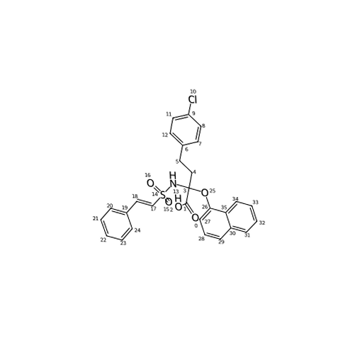 O=C(O)C(CCc1ccc(Cl)cc1)(NS(=O)(=O)C=Cc1ccccc1)Oc1cccc2ccccc12